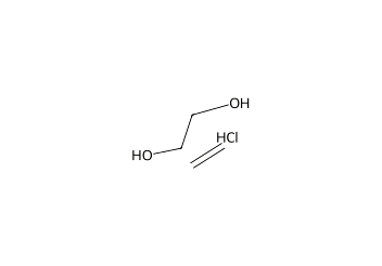 C=C.Cl.OCCO